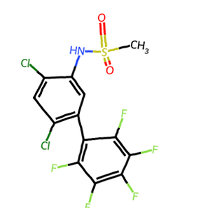 CS(=O)(=O)Nc1cc(-c2c(F)c(F)c(F)c(F)c2F)c(Cl)cc1Cl